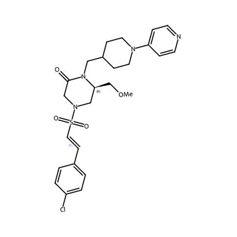 COC[C@H]1CN(S(=O)(=O)/C=C/c2ccc(Cl)cc2)CC(=O)N1CC1CCN(c2ccncc2)CC1